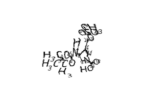 CC(C)(C)OC(=O)N[C@@H]1CN(C(=O)O)C[C@@H]1COS(C)(=O)=O